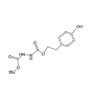 CC(C)(C)OC(=O)NNC(=O)OCCc1ccc(O)cc1